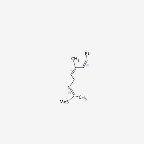 CC/C=C\C(C)=C/C/N=C(\C)SC